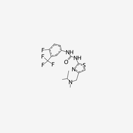 CC(C)N(C)Cc1csc(NC(=O)Nc2ccc(F)c(C(F)(F)F)c2)n1